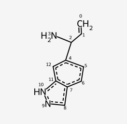 C=CC(N)c1ccc2cn[nH]c2c1